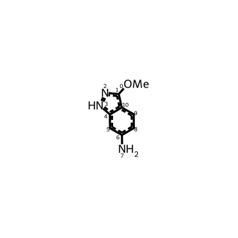 COc1n[nH]c2cc(N)ccc12